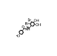 COc1ccc(C(=O)N/N=C/c2cc(O)c(O)c(Br)c2Br)cc1